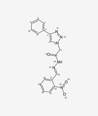 O=C(Cn1cc(-c2ccccc2)nn1)N/N=C/c1ccccc1[N+](=O)[O-]